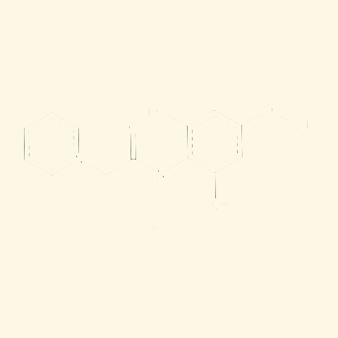 COc1cc(C)c(NC(=O)C[n+]2ccccc2)c(C)c1.[Br-]